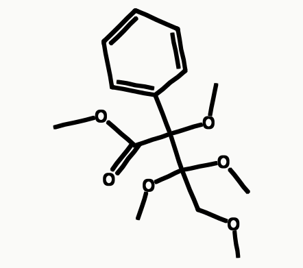 COCC(OC)(OC)C(OC)(C(=O)OC)c1ccccc1